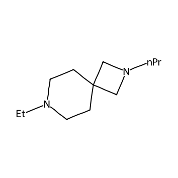 CCCN1CC2(CCN(CC)CC2)C1